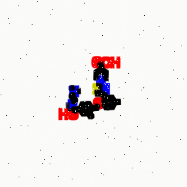 Cc1ccc(OCc2ccc(C(O)N(C)CCN(C)C)cc2C)c(-c2csc(N3CCC(C(=O)O)CC3)n2)c1